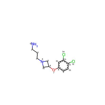 NCCCN1CC(Oc2ccc(Cl)c(Cl)c2)C1